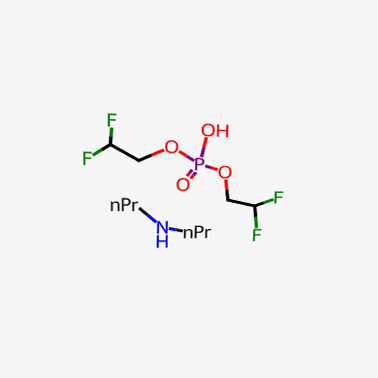 CCCNCCC.O=P(O)(OCC(F)F)OCC(F)F